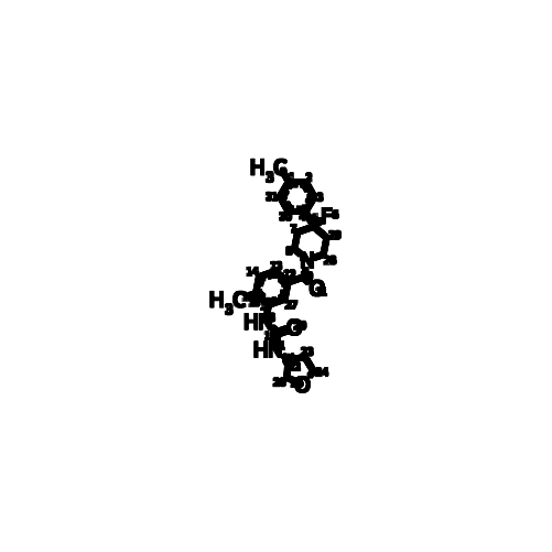 Cc1ccc(C2(F)CCN(C(=O)c3ccc(C)c(NC(=O)N[C@@H]4CCOC4)c3)CC2)cc1